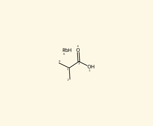 CC(C)C(=O)O.[RbH]